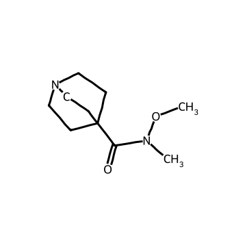 CON(C)C(=O)C12CCN(CC1)CC2